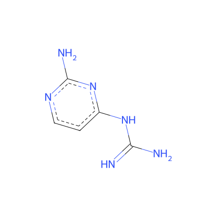 N=C(N)Nc1ccnc(N)n1